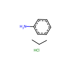 CCC.Cl.Nc1ccccc1